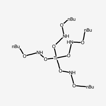 CCCCON[O][Ti]([O]NOCCCC)([O]NOCCCC)[O]NOCCCC